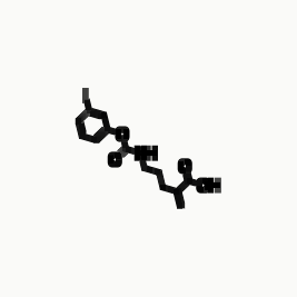 C=C(CCCNC(=O)Oc1cccc(I)c1)C(=O)O